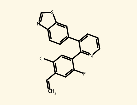 C=Cc1cc(F)c(-c2ncccc2-c2ccc3ncsc3c2)cc1Cl